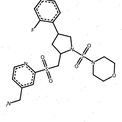 NCc1ccnc(S(=O)(=O)CC2CC(c3ccccc3F)CN2S(=O)(=O)N2CCOCC2)c1